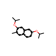 Cc1cc2ccc(OC(C)C)cc2cc1OC(C)C